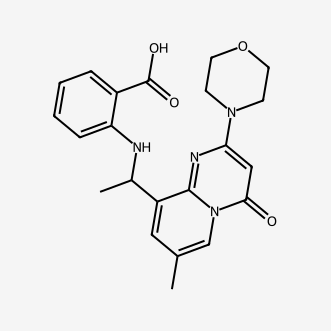 Cc1cc(C(C)Nc2ccccc2C(=O)O)c2nc(N3CCOCC3)cc(=O)n2c1